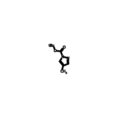 Cc1cnn(C(=O)OC(C)(C)C)c1